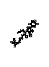 C#CCN(C(=O)CCSCC1CC1(C)F)c1sc(-c2cccnc2)nc1Cl